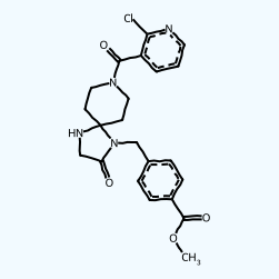 COC(=O)c1ccc(CN2C(=O)CNC23CCN(C(=O)c2cccnc2Cl)CC3)cc1